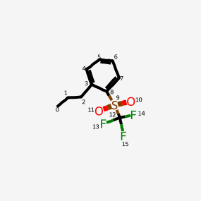 CCCc1ccccc1S(=O)(=O)C(F)(F)F